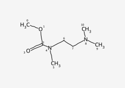 COC(=O)N(C)CCN(C)C